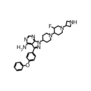 Nc1ncnc2c1c(-c1ccc(Oc3ccccc3)cc1)nn2C1CCN(C2CCN(C3CNC3)CC2F)CC1